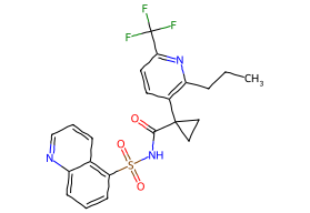 CCCc1nc(C(F)(F)F)ccc1C1(C(=O)NS(=O)(=O)c2cccc3ncccc23)CC1